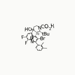 Cc1cccc(-c2noc([C@H]3C(C(C)(C)C)N(C(=O)O)CC[C@]3(O)c3ccc(F)c(F)c3)c2Br)c1C